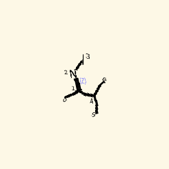 C/C(=N/I)C(C)C